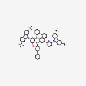 CC(C)(C)c1ccc2c(c1)c1cc(C(C)(C)C)ccc1n2-c1cccc(-c2ccc3c(c2)B2c4ccc(-c5ccccc5)cc4Oc4cc(-n5c6cc(C(C)(C)C)ccc6c6ccc(C(C)(C)C)cc65)cc(c42)N3c2ccccc2-c2ccccc2)n1